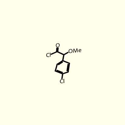 COC(C(=O)Cl)c1ccc(Cl)cc1